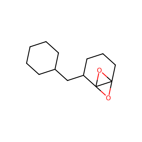 C1CCC(CC2CCCC34OC23O4)CC1